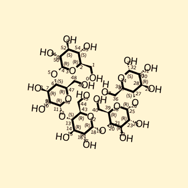 OC[C@H]1O[C@H](O[C@H]2[C@H](O)[C@@H](O)[C@@H](O[C@H]3[C@H](O)[C@@H](O)[C@@H](O[C@H]4[C@H](O)[C@@H](O)[C@@H](O[C@H]5[C@H](O)[C@@H](O)[C@@H](O)O[C@@H]5CO)O[C@@H]4CO)O[C@@H]3CO)O[C@@H]2CO)[C@H](O)[C@@H](O)[C@@H]1O